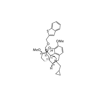 COc1ccc2c3c1O[C@H]1[C@@]4(OC)CC[C@@]5(C[C@@H]4COCc4cc6ccccc6s4)[C@@H](C2)N(CC2CC2)CC[C@]315